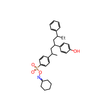 CCC(CC(CC(C)c1ccc(S(=O)(=O)ON=C2CCCCC2)cc1)c1ccc(O)cc1)c1ccccc1